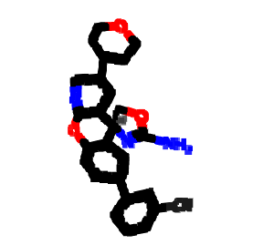 N#Cc1cccc(-c2ccc3c(c2)[C@@]2(COC(N)=N2)c2cc(C4=CCOCC4)cnc2O3)c1